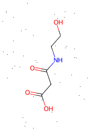 O=C(O)CC(=O)NCCO